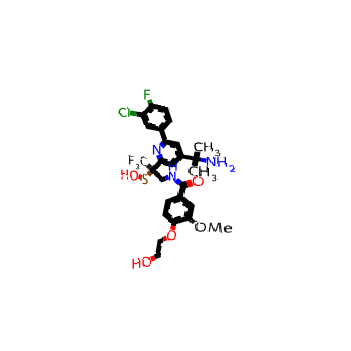 COc1cc(C(=O)NCC(SO)(c2cc(C(C)(C)N)cc(-c3ccc(F)c(Cl)c3)n2)C(F)(F)F)ccc1OCCO